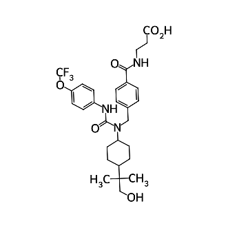 CC(C)(CO)C1CCC(N(Cc2ccc(C(=O)NCCC(=O)O)cc2)C(=O)Nc2ccc(OC(F)(F)F)cc2)CC1